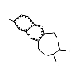 Cc1ccc2nc3c(nc2c1)CSC(C)C(C)SC3